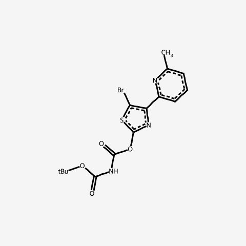 Cc1cccc(-c2nc(OC(=O)NC(=O)OC(C)(C)C)sc2Br)n1